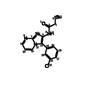 CC(C)(C)CC(=O)Nc1nc2ncccn2c1-c1cccc(Cl)c1